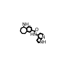 NC1CCCCc2cc(C(=O)Nc3ccnc4[nH]ccc34)ccc21